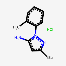 Cc1ccccc1-n1nc(C(C)(C)C)cc1N.Cl